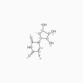 O=c1[nH]c(=O)n(C2OC(O)C(O)C2O)cc1F